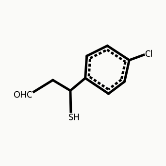 O=CCC(S)c1ccc(Cl)cc1